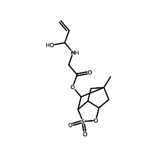 C=CC(O)NCC(=O)OC1C2C3CC1(C)CC3OS2(=O)=O